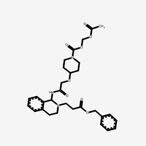 CC(=O)OCOC(=O)N1CCC(OCC(=O)NC2c3ccccc3CCN2CCC(=O)OCc2ccccc2)CC1